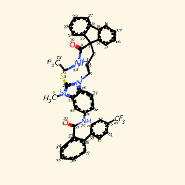 Cn1c(=S)n(CCCC2(C(=O)NCC(F)(F)F)c3ccccc3-c3ccccc32)c2ccc(NC(=O)c3ccccc3-c3ccc(C(F)(F)F)cc3)cc21